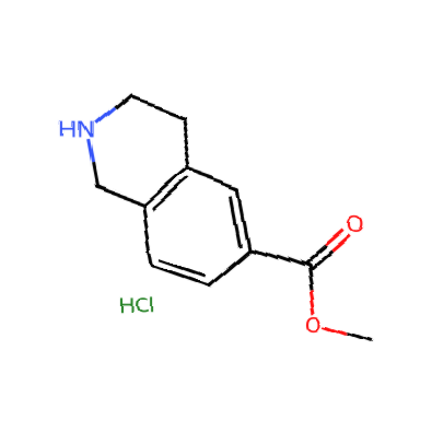 COC(=O)c1ccc2c(c1)CCNC2.Cl